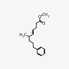 COC(=O)CC/C=C/C(C)CCCc1ccccc1